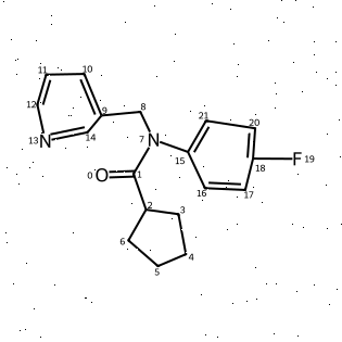 O=C(C1CCCC1)N(Cc1cccnc1)c1ccc(F)cc1